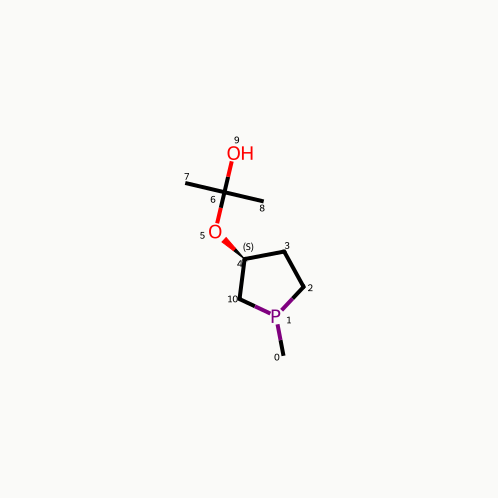 CP1CC[C@H](OC(C)(C)O)C1